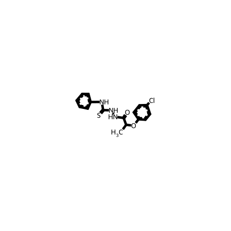 CC(Oc1ccc(Cl)cc1)C(=O)NNC(=S)Nc1ccccc1